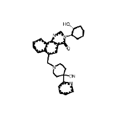 N#CC1(c2ccccn2)CCN(Cc2cc3c(=O)n([C@@H]4CCCC[C@H]4O)cnc3c3ccccc23)CC1